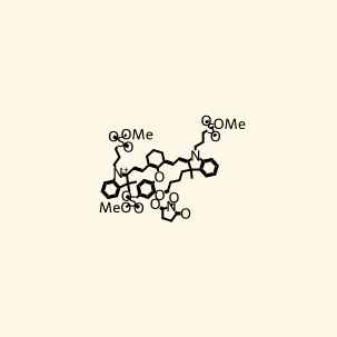 COS(=O)(=O)CCCN1/C(=C/C=C2\CCCC(/C=C/C3=[N+](CCCS(=O)(=O)OC)c4ccccc4C3(C)C)=C2Oc2ccc(S(=O)(=O)OC)cc2)C(C)(CCCC(=O)ON2C(=O)CCC2=O)c2ccccc21